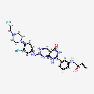 C=CC(=O)Nc1cccc(-c2nc(=O)c3cnc(Nc4ccc(N5CCN(CCF)CC5)c(F)c4)nc3[nH]2)c1